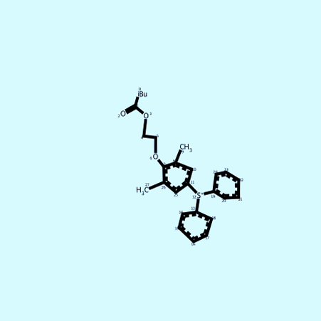 CCC(C)C(=O)OCCOc1c(C)cc([S+](c2ccccc2)c2ccccc2)cc1C